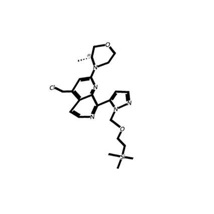 C[C@@H]1COCCN1c1cc(CCl)c2ccnc(-c3ccnn3COCC[Si](C)(C)C)c2n1